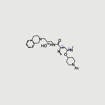 C=N/C(=C\C(=N/C)OC1CCN(C(C)=O)CC1)C(=O)NC[C@H](O)CN1CCc2ccccc2C1